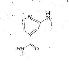 CNC(=O)c1ccnc(NI)c1